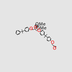 CO[Si](C)(OC)OC(COc1ccc(C(C)(C)c2ccccc2)cc1)COc1ccc(C(C)(C)c2ccc(OCC3CO3)cc2)cc1